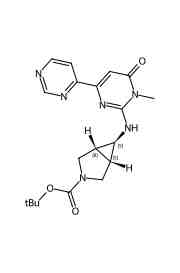 Cn1c(N[C@H]2[C@@H]3CN(C(=O)OC(C)(C)C)C[C@@H]32)nc(-c2ccncn2)cc1=O